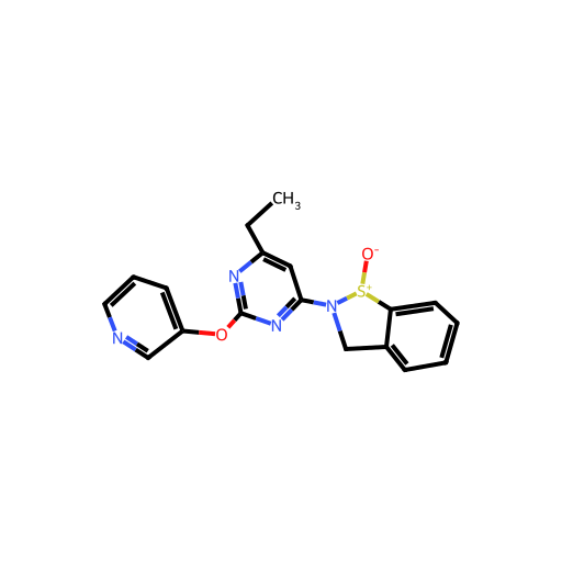 CCc1cc(N2Cc3ccccc3[S+]2[O-])nc(Oc2cccnc2)n1